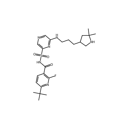 CC1(C)CC(CCCNc2cncc(S(=O)(=O)NC(=O)c3ccc(C(C)(C)C)nc3F)n2)CN1